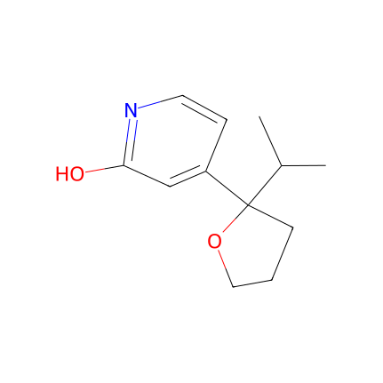 CC(C)C1(c2ccnc(O)c2)CCCO1